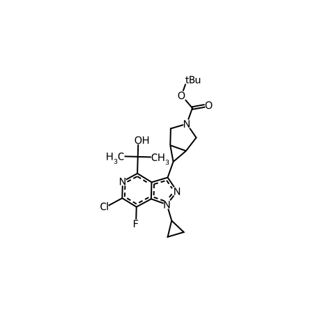 CC(C)(C)OC(=O)N1CC2C(C1)C2c1nn(C2CC2)c2c(F)c(Cl)nc(C(C)(C)O)c12